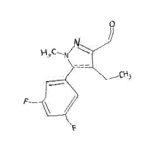 CCc1c(C=O)nn(C)c1-c1cc(F)cc(F)c1